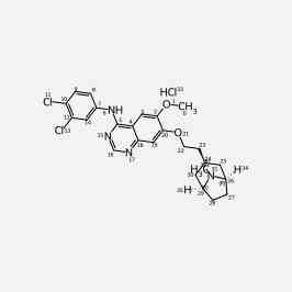 COc1cc2c(Nc3ccc(Cl)c(Cl)c3)ncnc2cc1OCC[C@H]1C[C@H]2CC[C@@H](C1)N2C.Cl